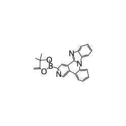 C=C1OB(c2cc3c(cn2)c2ccccc2n2c4ccccc4nc32)OC1(C)C